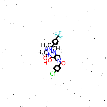 CC(O)n1c(NC(C)(C)c2ccc(C(F)(F)F)cc2)nc2c(c1=O)CN(C(=O)c1ccc(Cl)cc1)CC2